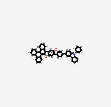 c1ccc(-n2c3ccccc3c3cc(-c4ccc5c(c4)oc4cc6c(cc45)sc4c6c5ccccc5c5c6ccccc6c6ccccc6c45)ccc32)cc1